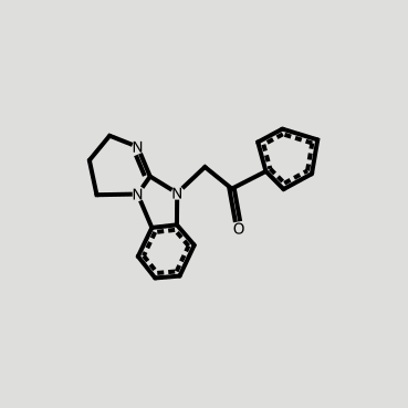 O=C(CN1C2=NCCCN2c2ccccc21)c1ccccc1